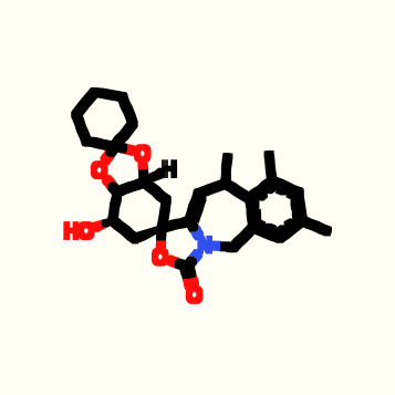 Cc1cc(C)c2c(c1)CN1C(=O)O[C@@]3(C[C@@H](O)C4OC5(CCCCC5)O[C@@H]4C3)C1=CC2C